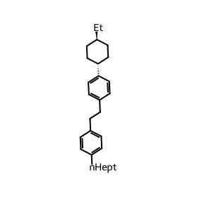 CCCCCCCc1ccc(CCc2ccc([C@H]3CC[C@H](CC)CC3)cc2)cc1